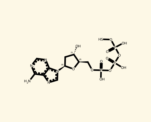 Nc1ncnc2c1ncn2[C@H]1C[C@H](O)[C@@H](COP(=O)(O)OP(=O)(O)OP(=O)(O)OS)O1